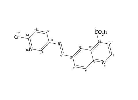 O=C(O)c1ccnc2ccc(C=Cc3ccc(Cl)nc3)cc12